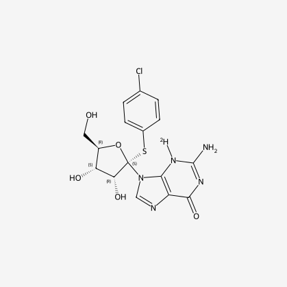 [2H]n1c(N)nc(=O)c2ncn([C@]3(Sc4ccc(Cl)cc4)O[C@H](CO)[C@@H](O)[C@H]3O)c21